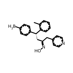 Bc1ccc([C@@H](C/C(Cc2ccncc2)=N\O)c2ccccc2C)cc1